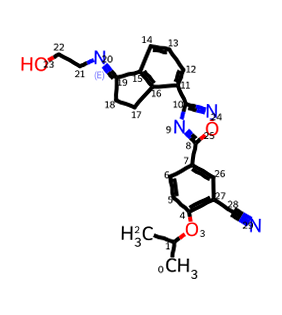 CC(C)Oc1ccc(-c2nc(-c3cccc4c3CC/C4=N\CCO)no2)cc1C#N